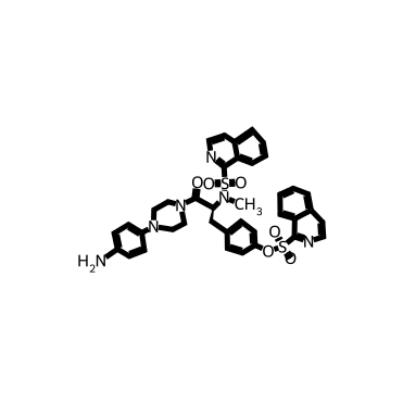 CN([C@@H](Cc1ccc(OS(=O)(=O)c2nccc3ccccc23)cc1)C(=O)N1CCN(c2ccc(N)cc2)CC1)S(=O)(=O)c1nccc2ccccc12